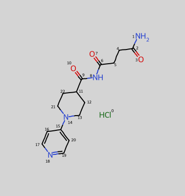 Cl.NC(=O)CCC(=O)NC(=O)C1CCN(c2ccncc2)CC1